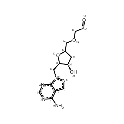 Nc1ncnc2c1cnn2C[C@H]1OC(COCP=O)C[C@H]1O